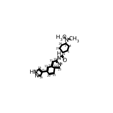 CN(C)[C@H]1CC[C@H](C(=O)Nc2cc3cc(-c4cn[nH]c4)ccc3cn2)CC1